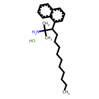 CCCCCCCCCCC(c1cccc2ccccc12)C(C)(C)N.Cl